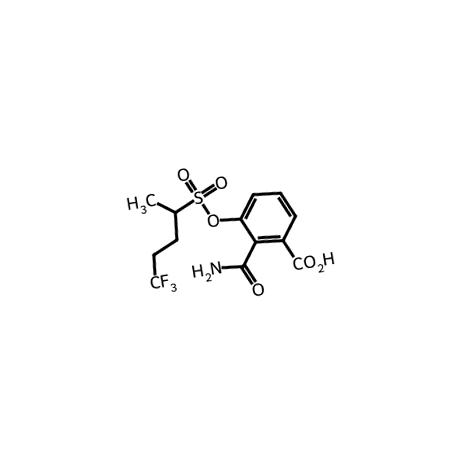 CC(CCC(F)(F)F)S(=O)(=O)Oc1cccc(C(=O)O)c1C(N)=O